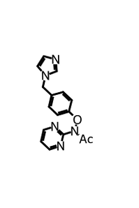 CC(=O)N(Oc1ccc(Cn2ccnc2)cc1)c1ncccn1